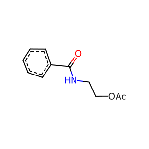 CC(=O)OCCNC(=O)c1ccccc1